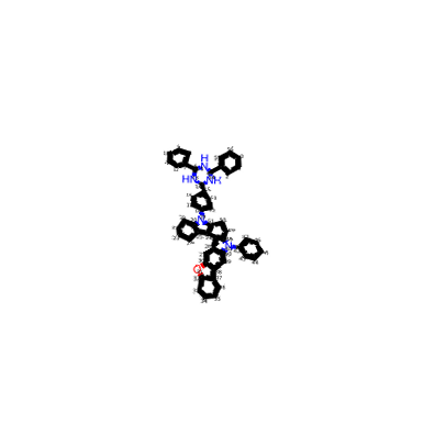 c1ccc(C2NC(c3ccccc3)NC(c3ccc(-n4c5ccccc5c5c6c7cc8oc9ccccc9c8cc7n(-c7ccccc7)c6ccc54)cc3)N2)cc1